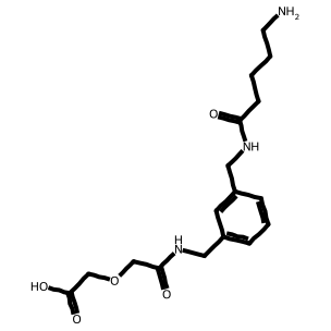 NCCCCC(=O)NCc1cccc(CNC(=O)COCC(=O)O)c1